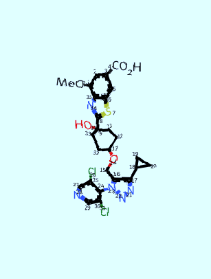 COc1cc(C(=O)O)cc2sc(C3(O)CCC(OCc4c(C5CC5)nnn4-c4c(Cl)cncc4Cl)CC3)nc12